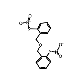 O=[N+]([O-])Sc1ccccc1COCc1ccccc1S[N+](=O)[O-]